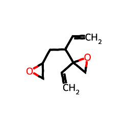 C=C[C](CC1CO1)C1(C=C)CO1